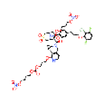 Cc1c(CN(C(=O)C2=C(c3ccc(CCCOc4c(F)ccc(F)c4Cl)cc3)CC3CS(=O)(=O)CC2N3C(=O)OCCCCO[N+](=O)[O-])C2CC2)ccnc1OCCCOC(=O)OCCCCO[N+](=O)[O-]